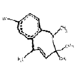 CC1=CC(C)(C)N(C)c2ccc(Br)cc21